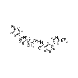 CC(C)(CN=[N+]=NC(=O)c1cccc(-n2cnc(C(F)(F)F)c2)c1)c1csc(-c2ccc(F)cc2)n1